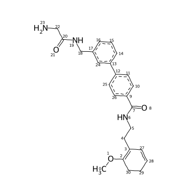 COC1=C(CCNC(=O)c2ccc(-c3cccc(CNC(=O)CN)c3)cc2)C=CCC1